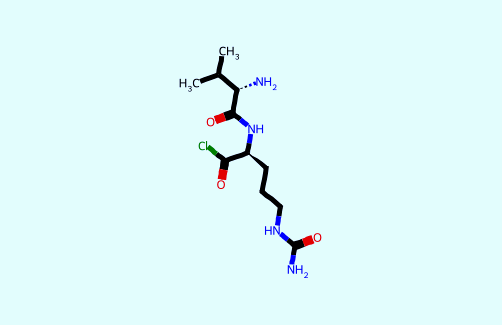 CC(C)[C@H](N)C(=O)N[C@@H](CCCNC(N)=O)C(=O)Cl